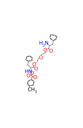 Cc1ccc(S(=O)(=O)ONC(Cc2ccccc2)C(=O)OCCOCCOC(=O)C(N)Cc2ccccc2)cc1